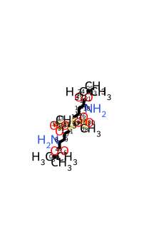 CC(C)(C)OC(=O)C(N)CC(CSSCC(CC(N)C(=O)OC(C)(C)C)OS(C)(=O)=O)OS(C)(=O)=O